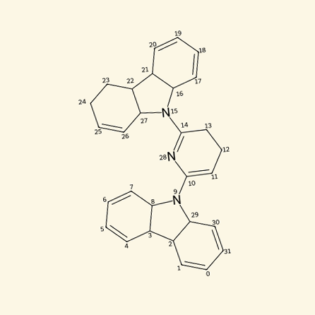 C1=CC2C3C=CC=CC3N(C3=CCCC(N4C5C=CC=CC5C5CCC=CC54)=N3)C2C=C1